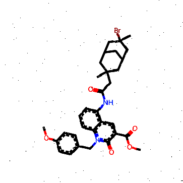 COC(=O)c1cc2c(NC(=O)CC3(C)CC4CC(CC(C)(Br)C4)C3)cccc2n(Cc2ccc(OC)cc2)c1=O